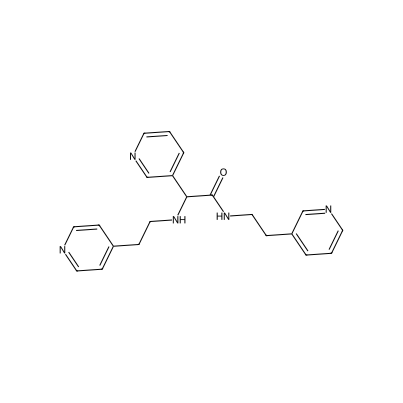 O=C(NCCc1cccnc1)C(NCCc1ccncc1)c1cccnc1